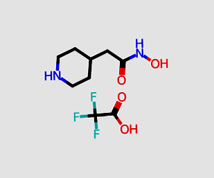 O=C(CC1CCNCC1)NO.O=C(O)C(F)(F)F